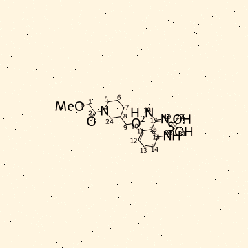 COCC(=O)N1CCCC(COc2cccc3c2C(N)=NS(O)(O)N3)C1